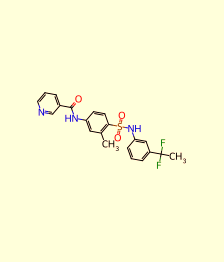 Cc1cc(NC(=O)c2cccnc2)ccc1S(=O)(=O)Nc1cccc(C(C)(F)F)c1